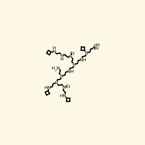 CCCNCCN(CCNCCN(CCNCCN(CCN)CCN(CCNC1CCC1)CCN(CC)CCNC1CCC1)CCN(CC)CCNCCNC1CCC1)C1CCC1